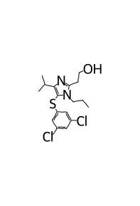 CCCn1c(CCO)nc(C(C)C)c1Sc1cc(Cl)cc(Cl)c1